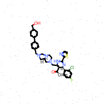 COC(=O)C1=C(CN2CCN3CN(Cc4ccc(-c5ccc(CO)cc5)cc4)C[C@@H]3C2)NC(c2nccs2)=N[C@H]1c1ccc(F)cc1Cl